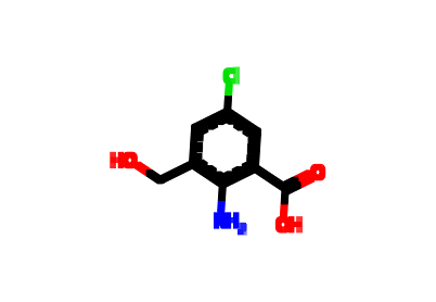 Nc1c(CO)cc(Cl)cc1C(=O)O